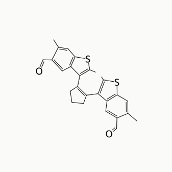 Cc1cc2sc(C)c(C3=C(c4c(C)sc5cc(C)c(C=O)cc45)CCC3)c2cc1C=O